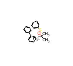 CC(C)(C)OSc1ccccc1.c1ccc(-c2ccccc2)cc1